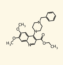 CCOC(=O)c1cnc2cc(OC)c(OC)cc2c1N1CCN(Cc2ccccc2)CC1